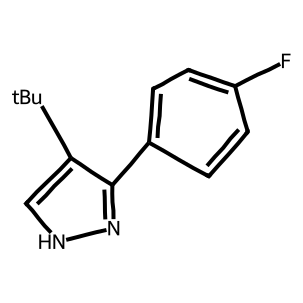 CC(C)(C)c1c[nH]nc1-c1ccc(F)cc1